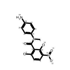 CN(C(=O)c1c(Cl)ccc([N+](=O)[O-])c1Cl)c1ccc(N)cc1